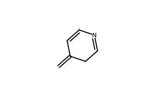 C=C1C=[C]N=CC1